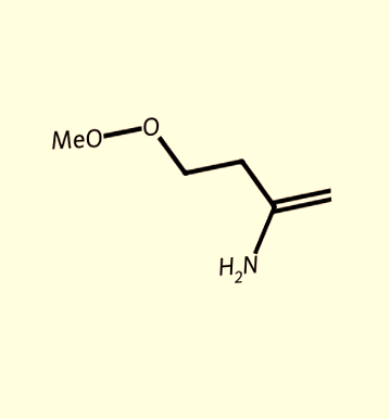 C=C(N)CCOOC